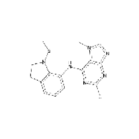 CSN1CCc2cccc(Nc3nc(Cl)nc4ncn(C)c34)c21